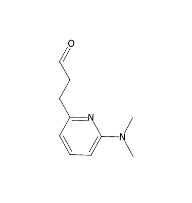 CN(C)c1cccc(CCC=O)n1